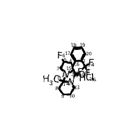 CC1(N2CCC(F)C2)CCCCN1C(=O)Cc1ccccc1C(F)(F)F.Cl